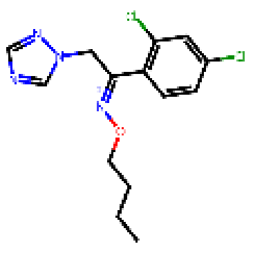 CCCCO/N=C(/Cn1cncn1)c1ccc(Cl)cc1Cl